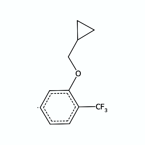 FC(F)(F)c1cc[c]cc1OCC1CC1